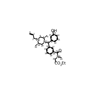 C=CCN1C[C@@H](C)N(C(c2cccc(O)c2)c2cccc(C(=O)N(C)CC(=O)OCC)c2)C[C@H]1C